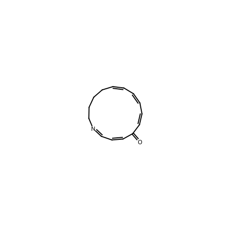 O=C1C=CC=CC=CCCCCN=CC=C1